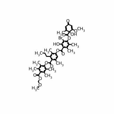 CCCc1c(C)c(OC(=O)c2c(C)c(C)c(OC(=O)[C@@]3(O)C(C)=CC(=O)C=C3OC)c(Br)c2O)cc(C)c1C(=O)Oc1c(C)c(C)c(C(=O)OCOC)c(C)c1C